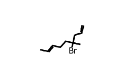 C=CCC(C)(Br)CCC=CC